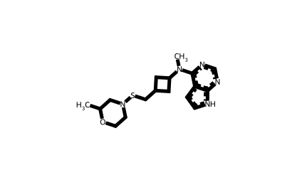 CC1CN(SCC2CC(N(C)c3ncnc4[nH]ccc34)C2)CCO1